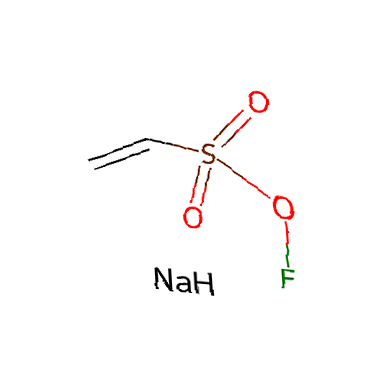 C=CS(=O)(=O)OF.[NaH]